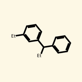 CCc1cccc(C(CC)c2ccccc2)c1